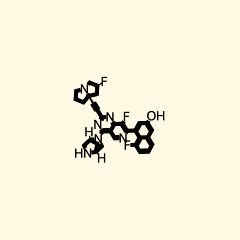 Oc1cc(-c2ncc3c(N4C[C@@H]5C[C@H]4CN5)nc(C#C[C@@]45CCCN4C[C@H](F)C5)nc3c2F)c2c(F)cccc2c1